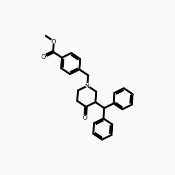 COC(=O)c1ccc(CN2CCC(=O)C(C(c3ccccc3)c3ccccc3)C2)cc1